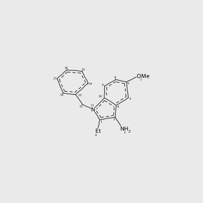 CCc1c(N)c2cc(OC)ccc2n1Cc1ccccc1